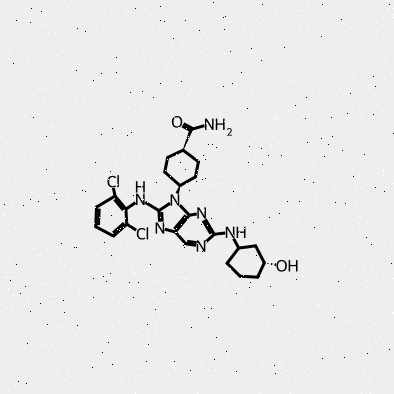 NC(=O)[C@H]1CC[C@@H](n2c(Nc3c(Cl)cccc3Cl)nc3cnc(NC4CCC[C@@H](O)C4)nc32)CC1